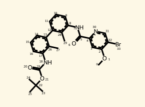 COc1cc(C(=O)Nc2cccc(-c3cccc(NC(=O)OC(C)(C)C)c3C)c2C)ncc1Br